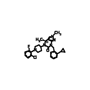 C[C@H]1c2cn(C)nc2N(Cc2ccccc2C2CC2)C(=O)N1C1CCN(c2c(F)cccc2Cl)CC1